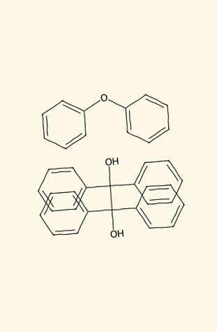 OC(c1ccccc1)(c1ccccc1)C(O)(c1ccccc1)c1ccccc1.c1ccc(Oc2ccccc2)cc1